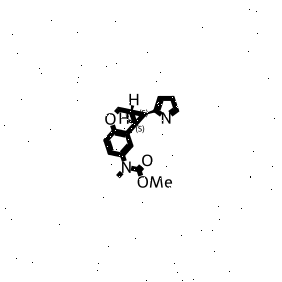 COC(=O)N(C)c1ccc2c(c1)[C@@H]1[C@H](CO2)[C@H]1C1=CCC=N1